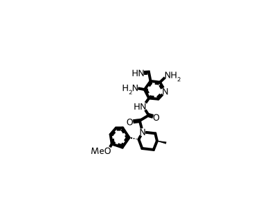 COc1cccc([C@H]2CC[C@H](C)CN2C(=O)C(=O)Nc2cnc(N)c(C=N)c2N)c1